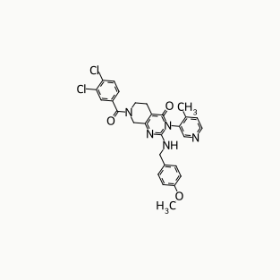 COc1ccc(CNc2nc3c(c(=O)n2-c2cnccc2C)CCN(C(=O)c2ccc(Cl)c(Cl)c2)C3)cc1